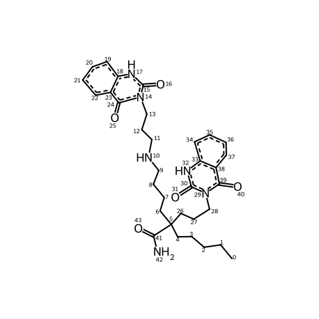 CCCCCC(CCCCNCCCn1c(=O)[nH]c2ccccc2c1=O)(CCCn1c(=O)[nH]c2ccccc2c1=O)C(N)=O